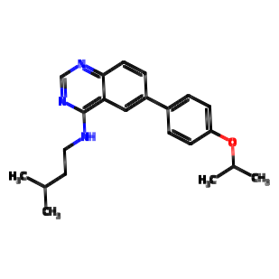 CC(C)CCNc1ncnc2ccc(-c3ccc(OC(C)C)cc3)cc12